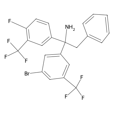 NC(Cc1ccccc1)(c1cc(Br)cc(C(F)(F)F)c1)c1ccc(F)c(C(F)(F)F)c1